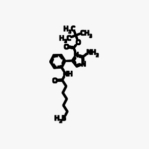 BCCCCCC(=O)Nc1ccccc1-c1cnc(N)n1C(=O)OC(C)(C)C